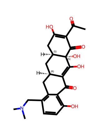 CC(=O)C1=C(O)C[C@@H]2C[C@@H]3Cc4c(CN(C)C)ccc(O)c4C(=O)C3=C(O)[C@]2(O)C1=O